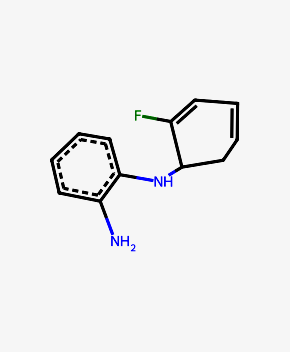 Nc1ccccc1NC1CC=CC=C1F